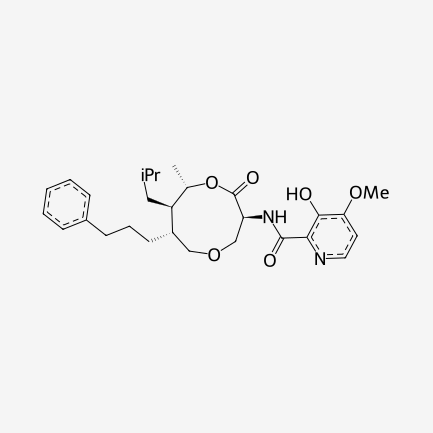 COc1ccnc(C(=O)N[C@H]2COC[C@H](CCCc3ccccc3)[C@@H](CC(C)C)[C@H](C)OC2=O)c1O